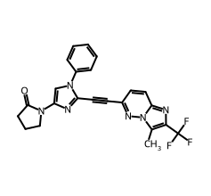 Cc1c(C(F)(F)F)nc2ccc(C#Cc3nc(N4CCCC4=O)cn3-c3ccccc3)nn12